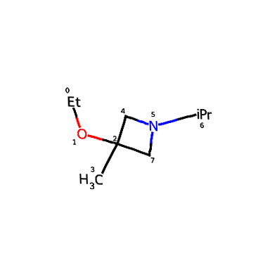 CCOC1(C)CN(C(C)C)C1